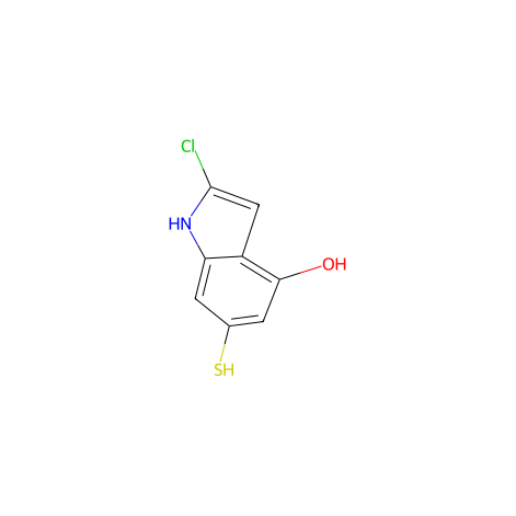 Oc1cc(S)cc2[nH]c(Cl)cc12